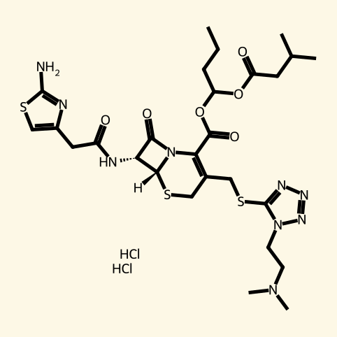 CCCC(OC(=O)CC(C)C)OC(=O)C1=C(CSc2nnnn2CCN(C)C)CS[C@@H]2[C@H](NC(=O)Cc3csc(N)n3)C(=O)N12.Cl.Cl